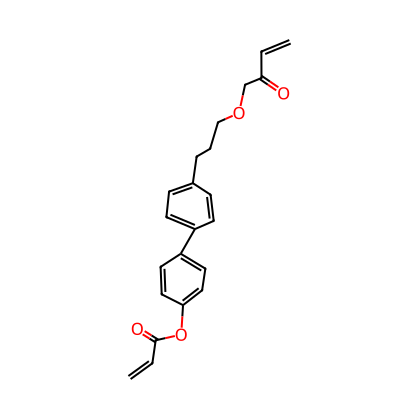 C=CC(=O)COCCCc1ccc(-c2ccc(OC(=O)C=C)cc2)cc1